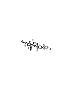 CS(=O)(=O)N1CCC(Nc2ncc(F)c(-c3sc(CNC4CC4)nc3C(F)(F)F)n2)CC1